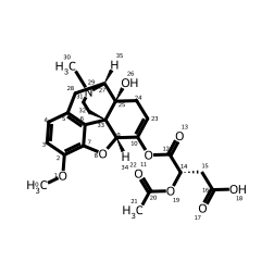 COc1ccc2c3c1O[C@H]1C(OC(=O)[C@H](CC(=O)O)OC(C)=O)=CC[C@@]4(O)[C@@H](C2)N(C)CC[C@]314